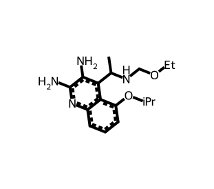 CCOCNC(C)c1c(N)c(N)nc2cccc(OC(C)C)c12